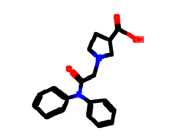 O=C(O)C1CCN(CC(=O)N(c2ccccc2)c2ccccc2)C1